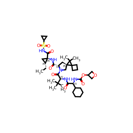 CC[C@@H]1C[C@]1(NC(=O)[C@@H]1C[C@@]2(CN1C(=O)[C@@H](NC(=O)[C@@H](NC(=O)OC1COC1)C1CCCCC1)C(C)(C)C)C(C)(C)C21CCC1)C(=O)NS(=O)(=O)C1CC1